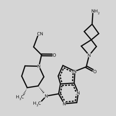 C[C@@H]1CCN(C(=O)CC#N)C[C@@H]1N(C)c1ncnc2c1ccn2C(=O)N1CC2(CC(N)C2)C1